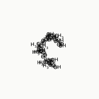 C[C@@H](CCC(=O)O[C@H]1CC[C@]2(C)C(C1)C[C@@H](O)[C@@H]1C3CC[C@@H]([C@@H](C)CCC(=O)O[C@H]4CC[C@]5(C)C(C4)C[C@@H](O)[C@@H]4C6CC[C@@H]([C@@H](C)CCC(=O)NCCS(=O)(=O)O)[C@]6(C)CC[C@H]45)[C@]3(C)CC[C@H]12)[C@@H]1CCC2[C@H]3[C@H](O)CC4C[C@@H](O)CC[C@@]4(C)[C@@H]3CC[C@]21C